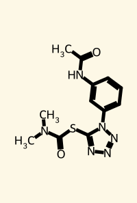 CC(=O)Nc1cccc(-n2nnnc2SC(=O)N(C)C)c1